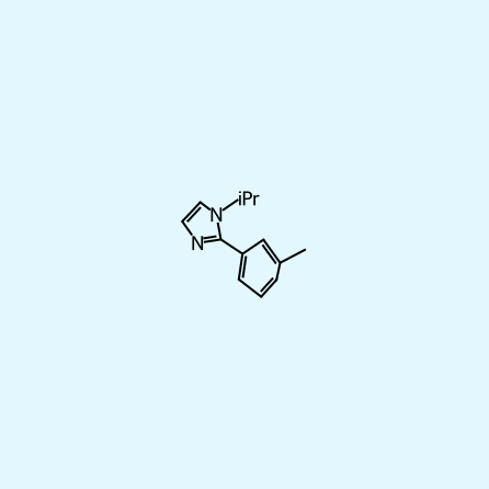 Cc1cccc(-c2nccn2C(C)C)c1